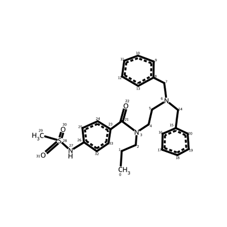 CCCN(CCN(Cc1ccccc1)Cc1ccccc1)C(=O)c1ccc(NS(C)(=O)=O)cc1